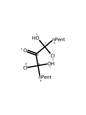 CCCCCC(O)(Cl)C(=O)C(O)(Cl)CCCCC